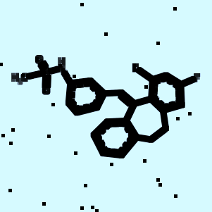 CS(=O)(=O)Nc1cccc(C=C2c3ccccc3CCc3cc(F)cc(F)c32)c1